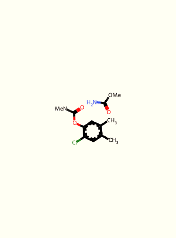 CNC(=O)Oc1cc(C)c(C)cc1Cl.COC(N)=O